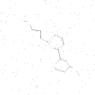 COc1ccnc(-c2cccc(CCCON)n2)c1